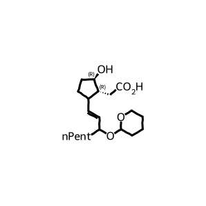 CCCCCC(C=CC1CC[C@@H](O)[C@@H]1CC(=O)O)OC1CCCCO1